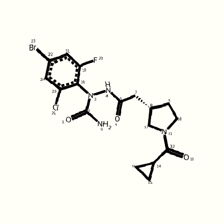 NC(=O)N(NC(=O)C[C@@H]1CCN(C(=O)C2CC2)C1)c1c(F)cc(Br)cc1Cl